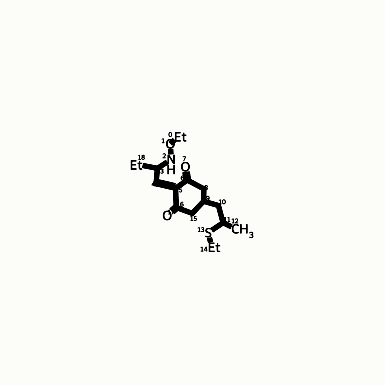 CCONC(C=C1C(=O)CC(CC(C)SCC)CC1=O)CC